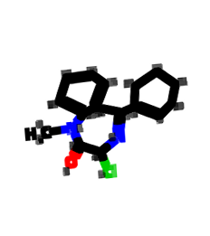 CN1C(=O)C(Cl)N=C(C2=CCCCC2)c2ccccc21